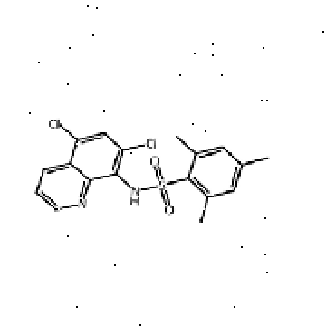 Cc1cc(C)c(S(=O)(=O)Nc2c(Cl)cc(Cl)c3cccnc23)c(C)c1